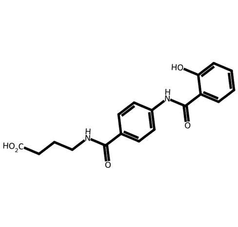 O=C(O)CCCNC(=O)c1ccc(NC(=O)c2ccccc2O)cc1